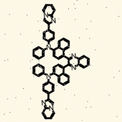 c1ccc(N(c2ccc(-c3cn4ccccc4n3)cc2)c2ccc(-c3nc4ccccc4nc3-c3ccc(N(c4ccccc4)c4ccc(-c5cn6ccccc6n5)cc4)c4ccccc34)c3ccccc23)cc1